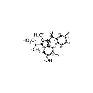 Cc1c([C@H](C)C(=O)O)c2cc(O)c(F)cc2n1C(=O)c1cccc(F)c1